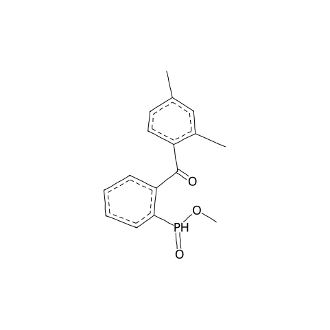 CO[PH](=O)c1ccccc1C(=O)c1ccc(C)cc1C